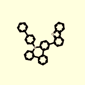 c1ccc(-c2ccc(N3c4ccccc4-c4ccccc4-c4cc(-c5cccc6c5oc5ccccc56)ccc43)cc2)cc1